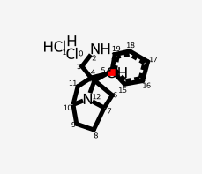 Cl.Cl.NCC1(O)CC2CCC(C1)N2Cc1ccccc1